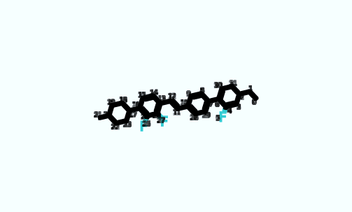 CCC1C=C(F)C(c2ccc(/C=C/c3ccc(C4CCC(C)CC4)c(F)c3F)cc2)=CC1